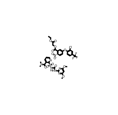 CCOC(=O)COC(=O)c1cc(Oc2ccc(C(F)(F)F)cc2Cl)ccc1[N+](=O)[O-].COc1cc(OC)nc(NC(=O)NS(=O)(=O)c2ncccc2C(=O)N(C)C)n1